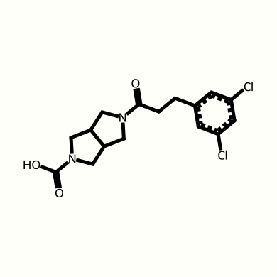 O=C(O)N1CC2CN(C(=O)CCc3cc(Cl)cc(Cl)c3)CC2C1